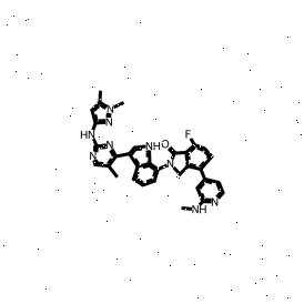 CNc1cc(-c2ccc(F)c3c2CN(c2cccc4c(-c5nc(Nc6cc(C)n(C)n6)ncc5C)c[nH]c24)C3=O)ccn1